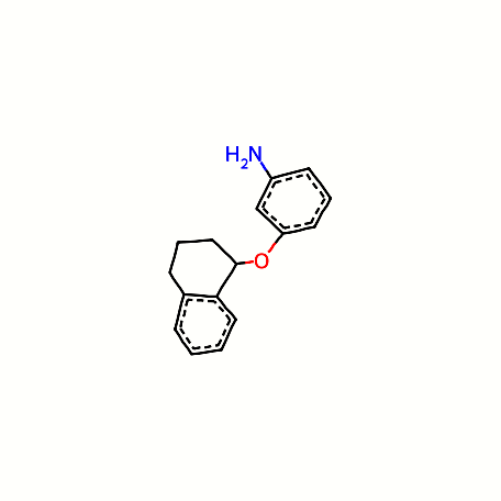 Nc1cccc(OC2CCCc3ccccc32)c1